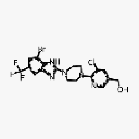 OCc1cnc(N2CCN(c3nc4cc(C(F)(F)F)cc(Br)c4[nH]3)CC2)c(Cl)c1